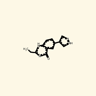 CCc1nc(=O)c2cc(-c3cn[nH]c3)ccc2[nH]1